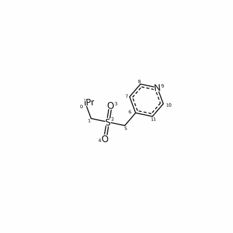 CC(C)CS(=O)(=O)Cc1ccncc1